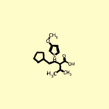 COC1=C[SH](C(CC2CCCC2)C(C(=O)O)C(C)C)C=C1